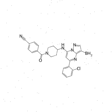 Bc1cnn2c(NC3CCN(C(=O)c4ccc(C#N)cc4)CC3)cc(-c3ccccc3Cl)nc12